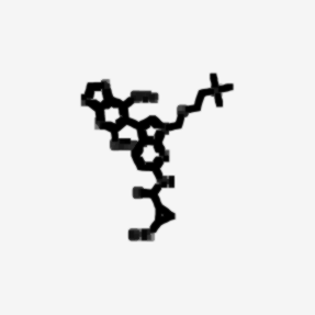 COc1nc2ncsc2c(OC)c1-c1cn(COCC[Si](C)(C)C)c2nc(NC(=O)C3CC3C=O)ccc12